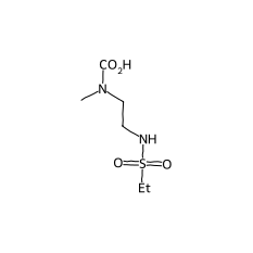 CCS(=O)(=O)NCCN(C)C(=O)O